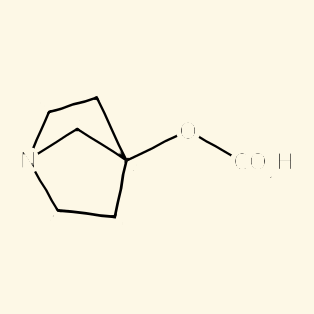 O=C(O)OC12CCN(CC1)C2